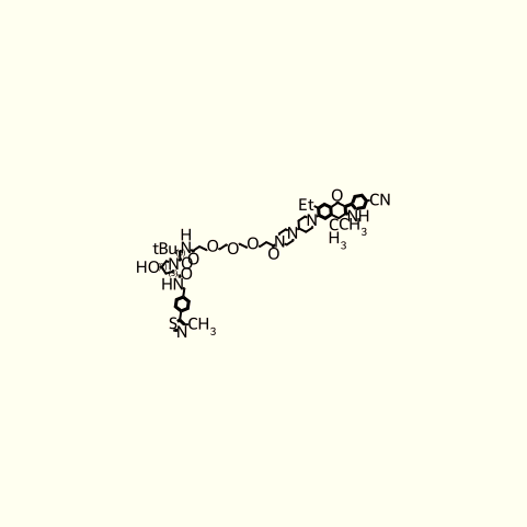 CCc1cc2c(cc1N1CCC(N3CCN(C(=O)CCOCCOCCOCCC(=O)N[C@H](C(=O)N4C[C@H](O)C[C@H]4C(=O)NCc4ccc(-c5scnc5C)cc4)C(C)(C)C)CC3)CC1)C(C)(C)c1[nH]c3cc(C#N)ccc3c1C2=O